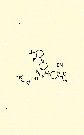 C=CC(=O)N1CCN(c2nc(OCC3CC3CN(C)C)nc3c2CCN(c2cccc(Cl)c2F)C3)C[C@@H]1CC#N